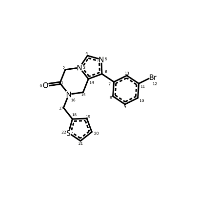 O=C1Cn2cnc(-c3cccc(Br)c3)c2CN1Cc1cccs1